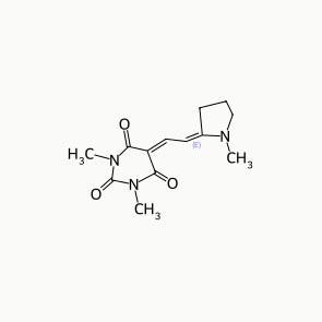 CN1C(=O)C(=C/C=C2\CCCN2C)C(=O)N(C)C1=O